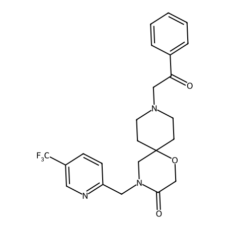 O=C(CN1CCC2(CC1)CN(Cc1ccc(C(F)(F)F)cn1)C(=O)CO2)c1ccccc1